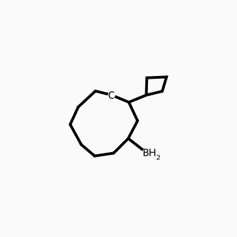 BC1CCCCCCCC(C2CCC2)C1